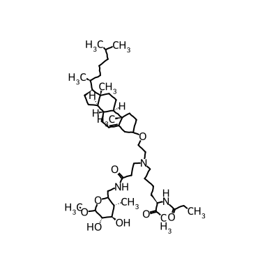 CCC(=O)N[C@H](CCCCN(CCOC1CC[C@]2(C)C(=CC[C@@H]3[C@H]4CC[C@@H]([C@@H](C)CCCC(C)C)[C@]4(C)CC[C@H]32)C1)CCC(=O)NCC1OC(OC)[C@@H](O)[C@H](O)[C@H]1C)C(C)=O